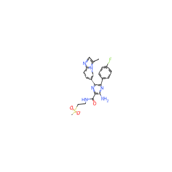 Cc1cnc2ccc(-c3nc(C(=O)NCCS(C)(=O)=O)c(N)nc3-c3ccc(F)cc3)cn12